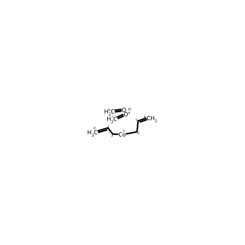 C=C[CH2][Co][CH2]C=C.C=O.C=O